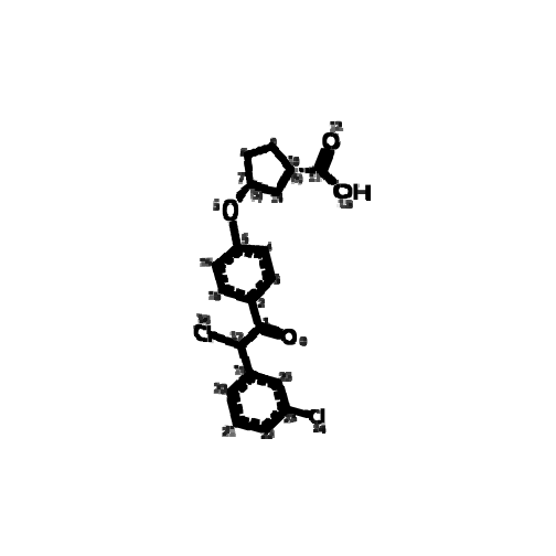 O=C(c1ccc(O[C@H]2CC[C@H](C(=O)O)C2)cc1)C(Cl)c1cccc(Cl)c1